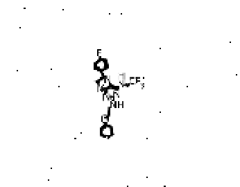 Fc1ccc(-c2cnc3nc(NCCOc4ccccc4)nc(NCC(F)(F)F)c3n2)cc1